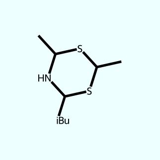 CCC(C)C1NC(C)SC(C)S1